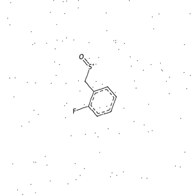 O=[S+]Cc1ccccc1F